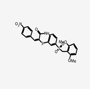 COc1cccc(OC)c1CS(=O)(=O)c1ccc2c(c1)SC(=Cc1ccc([N+](=O)[O-])cc1)C(=O)N2